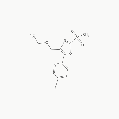 CS(=O)(=O)c1nc(COCC(F)(F)F)c(-c2ccc(F)cc2)o1